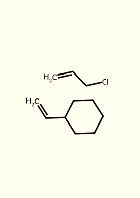 C=CC1CCCCC1.C=CCCl